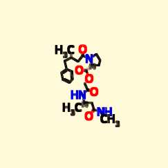 CNC(=O)C[C@H](C)NC(=O)COC(=O)[C@H]1CCCN1C(=O)CC(C)Cc1ccccc1